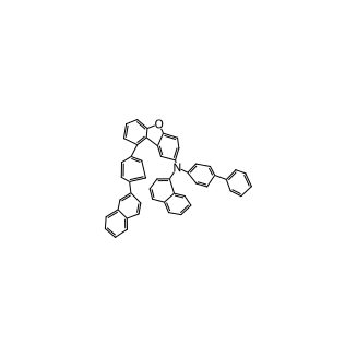 c1ccc(-c2ccc(N(c3ccc4oc5cccc(-c6ccc(-c7ccc8ccccc8c7)cc6)c5c4c3)c3cccc4ccccc34)cc2)cc1